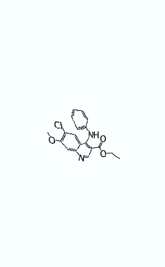 CCOC(=O)c1cnc2cc(OC)c(Cl)cc2c1Nc1ccccc1